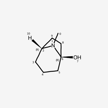 CN1[C@@H]2CCC[C@@]1(O)CC2